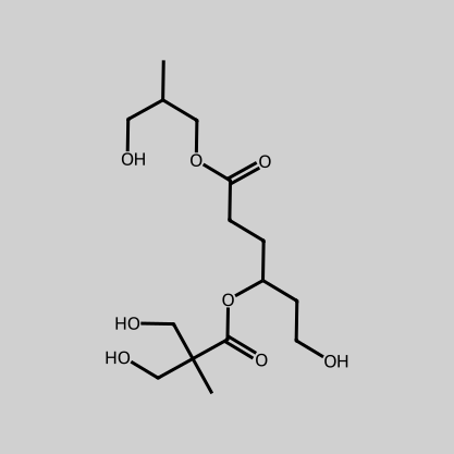 CC(CO)COC(=O)CCC(CCO)OC(=O)C(C)(CO)CO